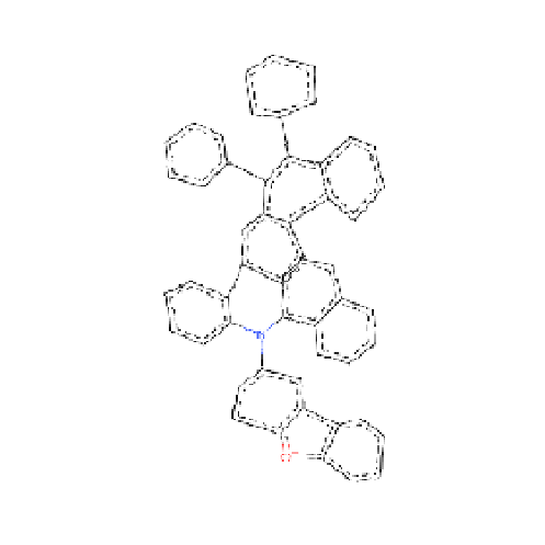 c1ccc(-c2c(-c3ccccc3)c3cc(-c4ccccc4N(c4ccc5oc6ccccc6c5c4)c4cccc5ccccc45)ccc3c3ccccc23)cc1